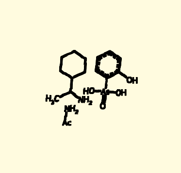 CC(N)=O.CC(N)C1CCCCC1.O=[As](O)(O)c1ccccc1O